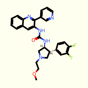 COCCN1C[C@@H](NC(=O)Nc2cc3ccccc3nc2-c2cccnc2)[C@H](c2ccc(F)c(F)c2)C1